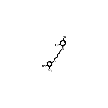 N#Cc1ccc(OCCCCCOc2ccc(C#N)c(C(F)(F)F)c2)c(C(F)(F)F)c1